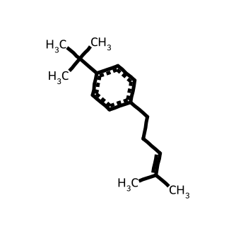 CC(C)=CCCc1ccc(C(C)(C)C)cc1